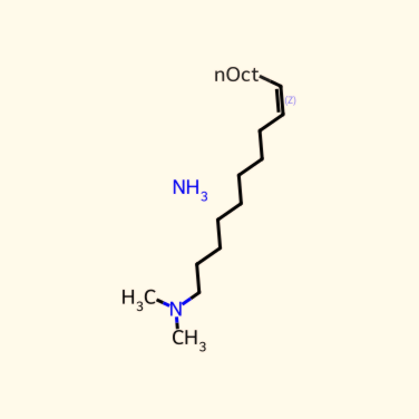 CCCCCCCC/C=C\CCCCCCCCN(C)C.N